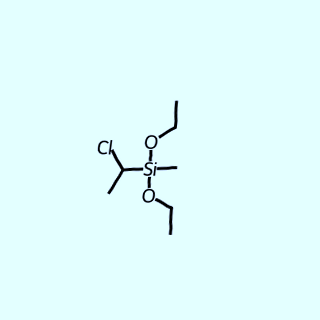 CCO[Si](C)(OCC)C(C)Cl